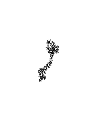 Cc1ncsc1-c1ccc(CNC(=O)[C@@H]2CCCN2C(=O)C(NC(=O)COCCCCOc2ccc(-c3ccc(N4C(=S)N(c5ccc(C#N)c(C(F)(F)F)c5)C(=O)C4(C)C)cc3)cc2)C(C)(C)C(=O)OC(C)(C)C)cc1